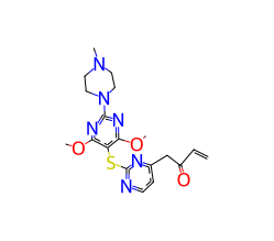 C=CC(=O)Cc1ccnc(Sc2c(OC)nc(N3CCN(C)CC3)nc2OC)n1